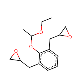 CCOC(C)Oc1c(CC2CO2)cccc1CC1CO1